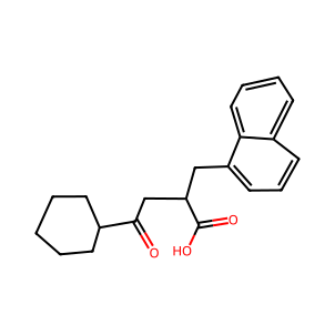 O=C(O)C(CC(=O)C1CCCCC1)Cc1cccc2ccccc12